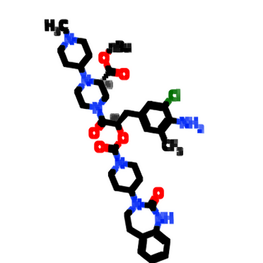 CCCCOC(=O)[C@@H]1CN(C(=O)[C@@H](Cc2cc(Cl)c(N)c(C(F)(F)F)c2)OC(=O)N2CCC(N3CCc4ccccc4NC3=O)CC2)CCN1C1CCN(C)CC1